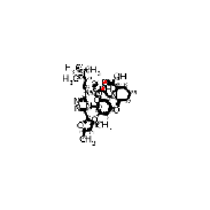 COc1cccc(OC)c1-n1c(-c2ccc(C)o2)nnc1N(CC[Si](C)(C)C)S(=O)(=O)[C@@H](C)CN1C(=O)CCCC1C(=O)O